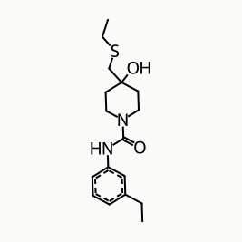 CCSCC1(O)CCN(C(=O)Nc2cccc(CC)c2)CC1